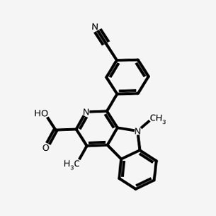 Cc1c(C(=O)O)nc(-c2cccc(C#N)c2)c2c1c1ccccc1n2C